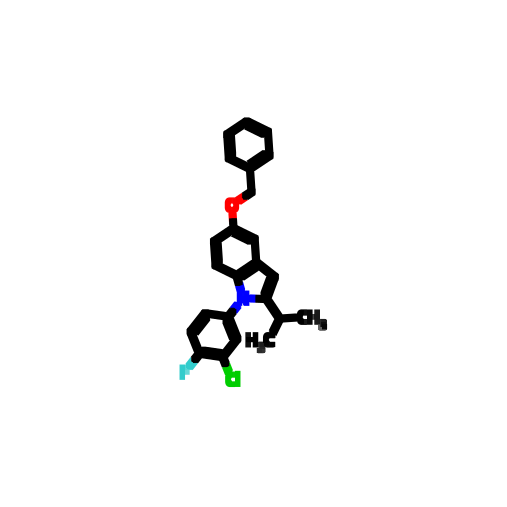 CC(C)c1cc2cc(OCc3ccccc3)ccc2n1-c1ccc(F)c(Cl)c1